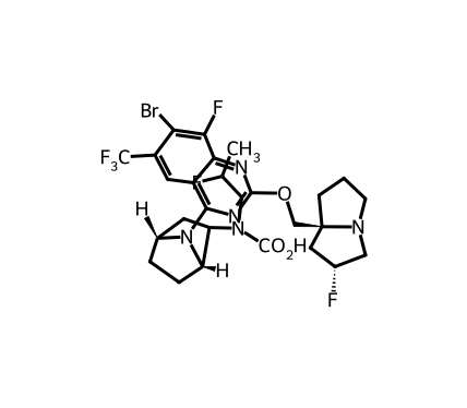 CC(F)CN(C(=O)O)C1C[C@H]2CC[C@@H]1N2c1nc(OC[C@@]23CCCN2C[C@H](F)C3)nc2c(F)c(Br)c(C(F)(F)F)cc12